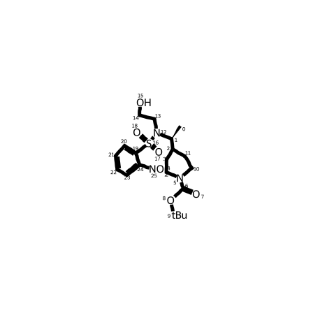 C[C@@H](C1CCN(C(=O)OC(C)(C)C)CC1)N(CCO)S(=O)(=O)c1ccccc1[N+](=O)[O-]